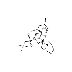 CC(C)(C)CS(=O)(=O)c1cc(N)nc(N2C3CCC2CN(C(=O)c2ccc(F)cc2Cl)C3)c1